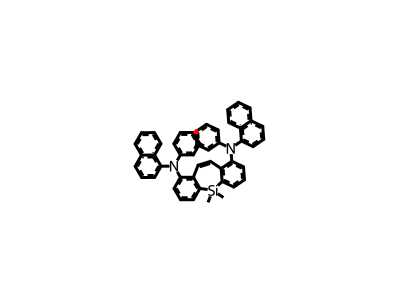 C[Si]1(C)c2cccc(N(c3ccccc3)c3cccc4ccccc34)c2C=Cc2c(N(c3ccccc3)c3cccc4ccccc34)cccc21